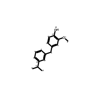 COc1cc([CH]c2cccc(C(C)C)c2)ccc1O